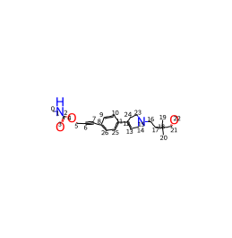 CNC(=O)OCC#Cc1ccc(C2=CCN(CCC(C)(C)C=O)CC2)cc1